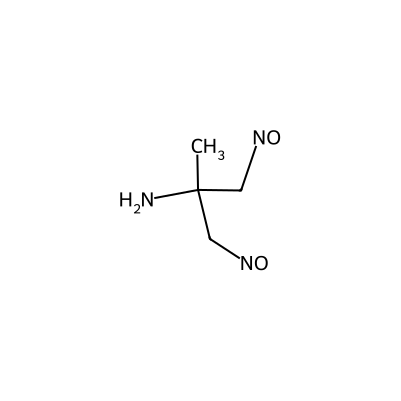 CC(N)(CN=O)CN=O